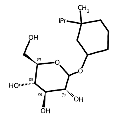 CC(C)C1(C)CCCC(OC2O[C@H](CO)[C@@H](O)[C@H](O)[C@H]2O)C1